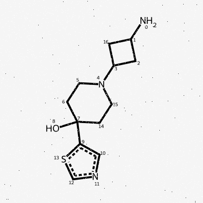 NC1CC(N2CCC(O)(c3cncs3)CC2)C1